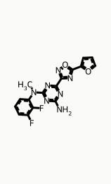 CN(c1nc(N)nc(-c2noc(-c3ccco3)n2)n1)c1cccc(F)c1F